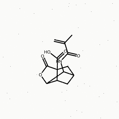 C=C(C)C(=O)NC1C2CC3C1OC(=O)C3(C(=O)O)C2